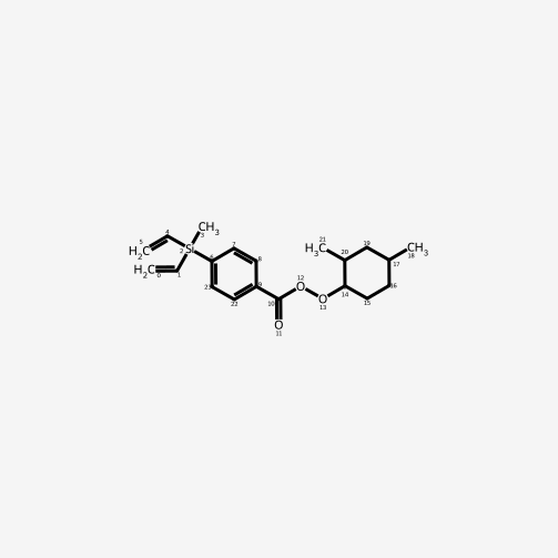 C=C[Si](C)(C=C)c1ccc(C(=O)OO[C]2CCC(C)CC2C)cc1